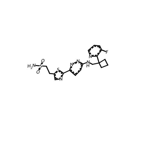 NS(=O)(=O)CCc1cnc(-c2ccc(NCC3(c4ncccc4F)CCC3)nn2)s1